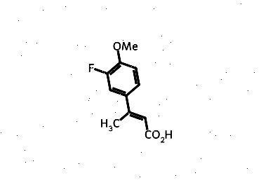 COc1ccc(C(C)=CC(=O)O)cc1F